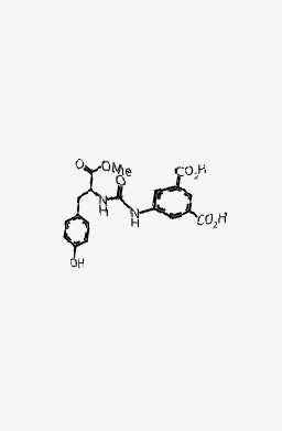 COC(=O)C(Cc1ccc(O)cc1)NC(=O)Nc1cc(C(=O)O)cc(C(=O)O)c1